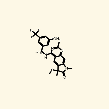 COC1(C)C(=O)N(C)c2cc3nc(C)nc(N[C@H](C)c4cc(N)cc(C(F)(F)F)c4)c3cc21